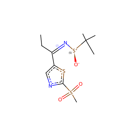 CC/C(=N/[S@+]([O-])C(C)(C)C)c1cnc(S(C)(=O)=O)s1